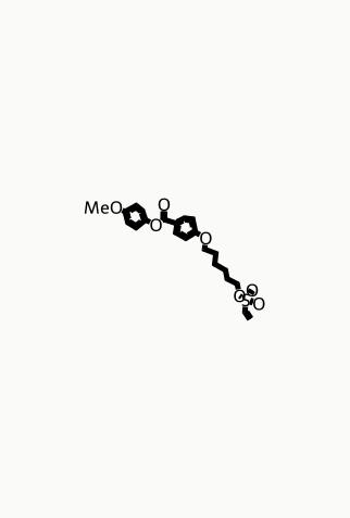 C=CS(=O)(=O)OCCCCCCOc1ccc(C(=O)Oc2ccc(OC)cc2)cc1